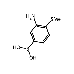 CSc1ccc(B(O)O)cc1N